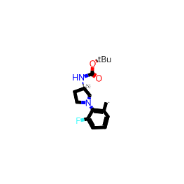 [CH2]c1cccc(F)c1N1CC[C@H](NC(=O)OC(C)(C)C)C1